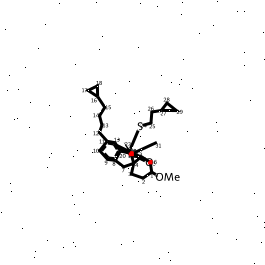 COC1CCC2(CC1)Cc1ccc(CCCCC3CC3)cc1C21N=C(SCCC2CC2)N(C)C1=O